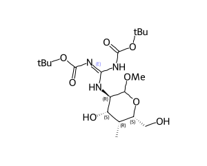 COC1O[C@H](CO)[C@H](C)[C@H](O)[C@H]1N/C(=N\C(=O)OC(C)(C)C)NC(=O)OC(C)(C)C